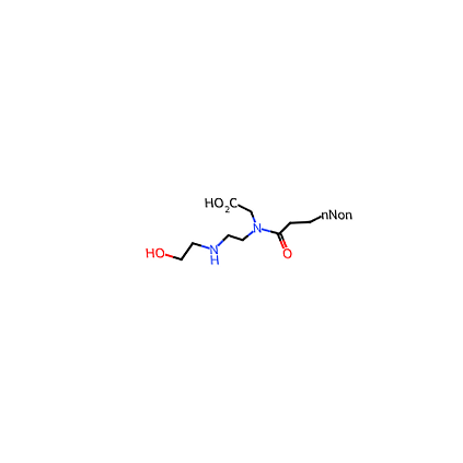 CCCCCCCCCCCC(=O)N(CCNCCO)CC(=O)O